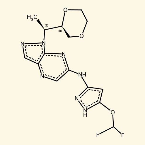 C[C@@H]([C@@H]1COCCO1)n1ncc2ncc(Nc3cc(OC(F)F)[nH]n3)nc21